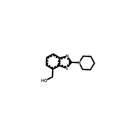 OCc1cccc2nc(N3CCCCC3)sc12